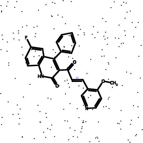 COc1ccncc1/C=C/C(=O)c1c(-c2ccccc2)c2cc(F)ccc2[nH]c1=O